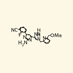 COCc1cccc(CN/C=C(\N=N)c2cc(-c3cccc(C#N)c3F)nc(N)n2)n1